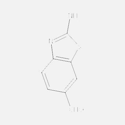 Nc1nc2ccc(C=O)cc2s1